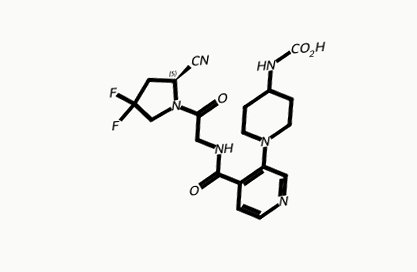 N#C[C@@H]1CC(F)(F)CN1C(=O)CNC(=O)c1ccncc1N1CCC(NC(=O)O)CC1